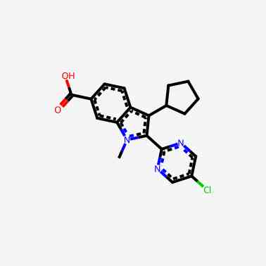 Cn1c(-c2ncc(Cl)cn2)c(C2CCCC2)c2ccc(C(=O)O)cc21